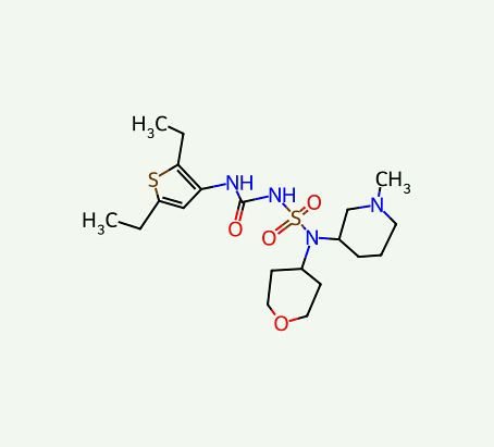 CCc1cc(NC(=O)NS(=O)(=O)N(C2CCOCC2)C2CCCN(C)C2)c(CC)s1